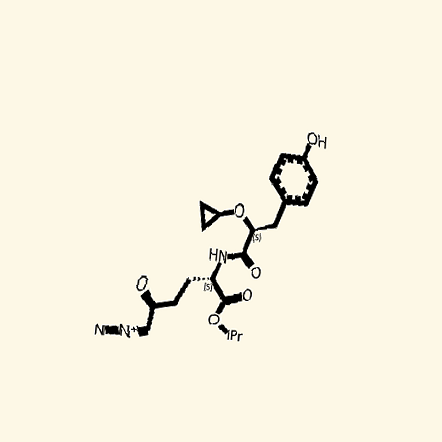 CC(C)OC(=O)[C@H](CCC(=O)C=[N+]=[N-])NC(=O)[C@H](Cc1ccc(O)cc1)OC1CC1